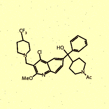 COc1nc2ccc(C(O)(c3ccccc3)C3CCN(C(C)=O)CC3)cc2c(Cl)c1CN1CCC(C(F)(F)F)CC1